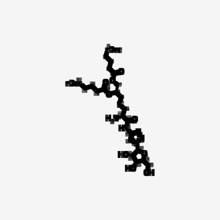 CCCCCCCCCCCCCC(=O)OC[C@H](CSC[C@@H](N)C(=O)Nc1cn([C@H]2OC(CO)[C@@H](O)[C@@H]2O)nn1)OC(=O)CCCCCCCCCCCCC